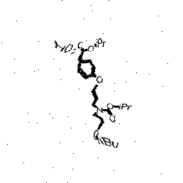 CCCCOCCN(CCCOc1ccc(CC(OC(C)C)C(=O)O)cc1)C(=O)OC(C)C